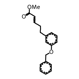 COC(=O)/C=C/CCc1cccc(OCc2ccccc2)c1